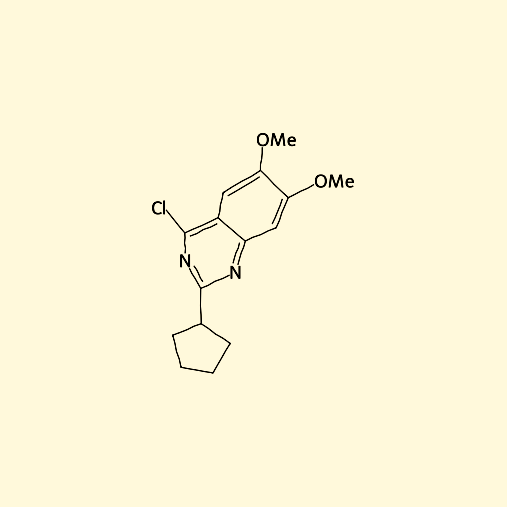 COc1cc2nc(C3CCCC3)nc(Cl)c2cc1OC